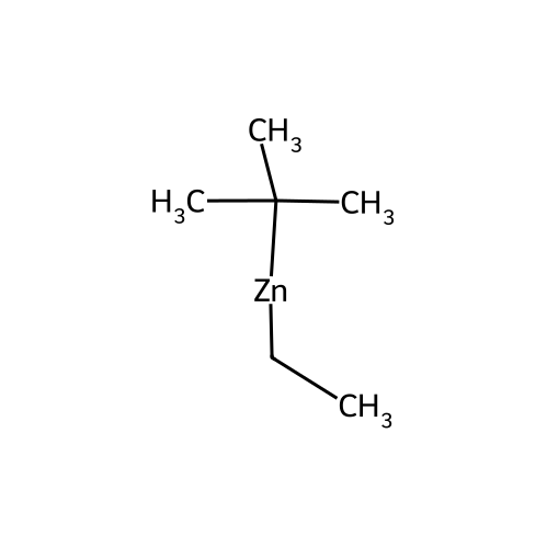 C[CH2][Zn][C](C)(C)C